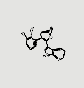 Clc1cccc(-c2cnoc2-c2c[nH]c3ncccc23)c1Cl